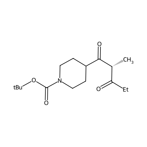 CCC(=O)[C@@H](C)C(=O)C1CCN(C(=O)OC(C)(C)C)CC1